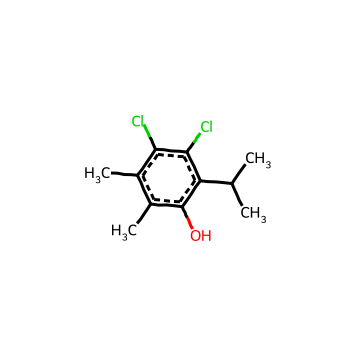 Cc1c(C)c(Cl)c(Cl)c(C(C)C)c1O